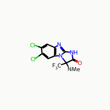 CNC1(C(F)(F)F)C(=O)Nc2nc3cc(Cl)c(Cl)cc3n21